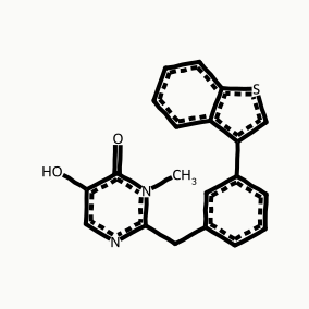 Cn1c(Cc2cccc(-c3csc4ccccc34)c2)ncc(O)c1=O